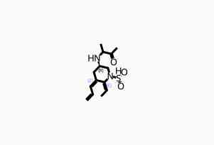 C=C/C=C1/C[C@@H](NC(C)C(C)=O)CN([SH](=O)=O)/C1=C/C